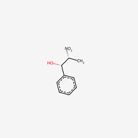 C[C@H]([C@@H](O)c1ccccc1)[N+](=O)[O-]